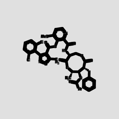 COc1ccnc(C(=O)N[C@H]2COC(=O)[C@H](Cc3ccccc3)[C@@H](OC(=O)C(C)C)[C@H](C)OC2=O)c1OC(=O)c1c(-c2c(Cl)cccc2Cl)noc1C